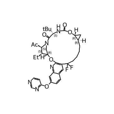 CC[C@@H]1[C@@H]2CN(C(=O)[C@H](C(C)(C)C)NC(=O)O[C@@H]3C[C@H]3CCCCC(F)(F)c3cc4ccc(Oc5ccncn5)cc4nc3O2)[C@@H]1C(C)=O